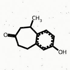 CC1CC(=O)CCc2cc(O)ccc21